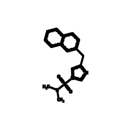 CN(C)S(=O)(=O)n1cnc(Cc2ccc3ccccc3c2)c1